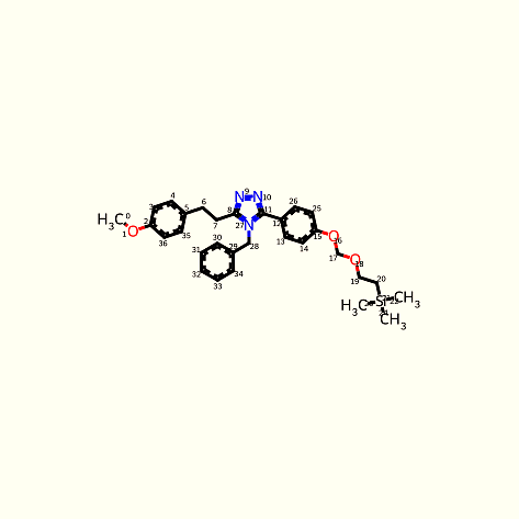 COc1ccc(CCc2nnc(-c3ccc(OCOCC[Si](C)(C)C)cc3)n2Cc2ccccc2)cc1